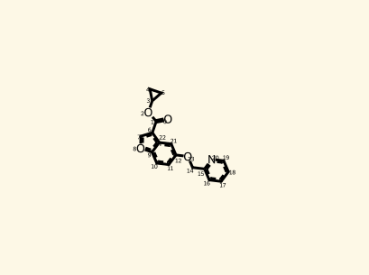 O=C(OC1CC1)c1coc2ccc(OCc3ccccn3)cc12